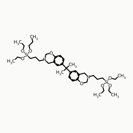 CCCO[Si](CCCN1COc2ccc(C(C)(C)c3ccc4c(c3)CN(CCC[Si](OCC)(OCC)OCC)CO4)cc2C1)(OCC)OCC